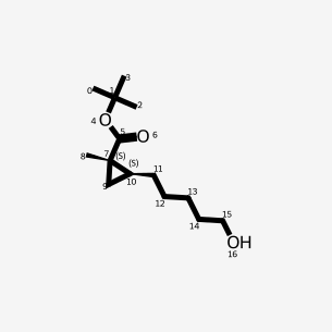 CC(C)(C)OC(=O)[C@@]1(C)C[C@@H]1CCCCCO